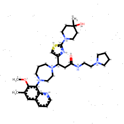 COc1c(C)cc2cccnc2c1N1CCCN(C(CC(=O)NCCN2CCCC2)c2csc(N3CCC(C)(O)CC3)n2)CC1